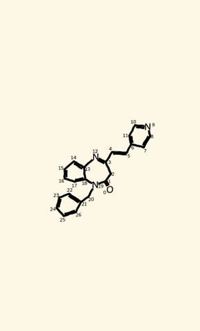 O=C1CC(/C=C/c2ccncc2)=Nc2ccccc2N1Cc1ccccc1